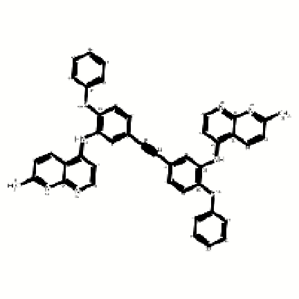 Cc1ccc2c(Nc3cc(C#Cc4ccc(Sc5ccccc5)c(Nc5ccnc6nc(C)ccc56)c4)ccc3Sc3ccccc3)ccnc2n1